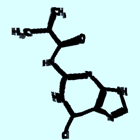 CC(C)C(=O)NC1=Nc2[nH]cnc2C(Cl)N1